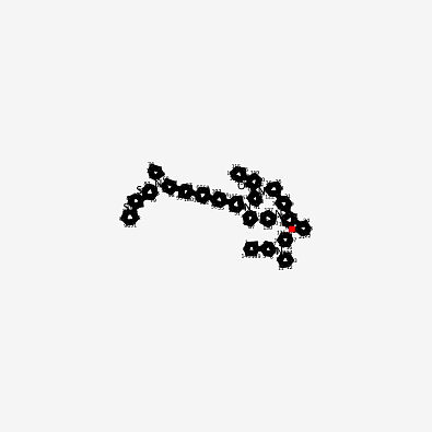 c1ccc(-c2ccc(N(c3ccccc3)c3ccc(-n4c5ccccc5c5cc6c7ccc(-c8cccc(-n9c%10ccc(N(c%11ccccc%11)c%11ccc(-c%12ccc(-c%13ccc(-c%14ccc(-c%15ccc(N(c%16ccccc%16)c%16ccc%17c(c%16)sc%16cc%18sc%19ccccc%19c%18cc%16%17)cc%15)cc%14)cc%13)cc%12)cc%11)cc%10c%10c%11oc%12ccccc%12c%11ccc%109)c8)cc7n(-c7ccccc7)c6cc54)cc3)cc2)cc1